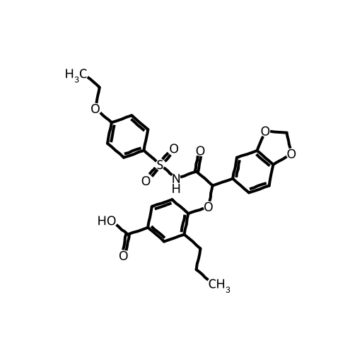 CCCc1cc(C(=O)O)ccc1OC(C(=O)NS(=O)(=O)c1ccc(OCC)cc1)c1ccc2c(c1)OCO2